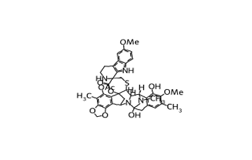 COc1ccc2[nH]c3c(c2c1)CCN[C@]31CS[C@H]2[C@H]3[C@@H]4c5c(cc(C)c(OC)c5O)CC(O)(CN4C)N3C3CC2(OC1=O)c1c(OC(C)=O)c(C)c2c(c13)OCO2